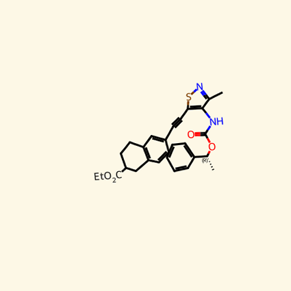 CCOC(=O)C1CCc2cc(C#Cc3snc(C)c3NC(=O)O[C@H](C)c3ccccc3)ccc2C1